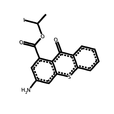 CC(I)OC(=O)c1cc(N)cc2sc3ccccc3c(=O)c12